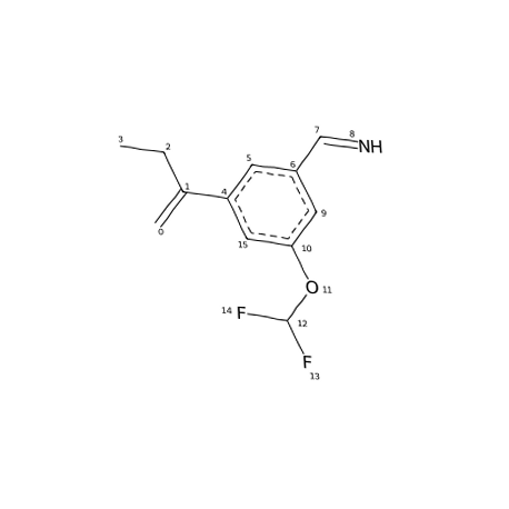 C=C(CC)c1cc(C=N)cc(OC(F)F)c1